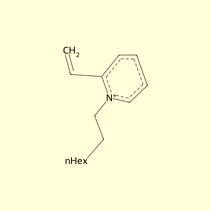 C=Cc1cccc[n+]1CCCCCCCC